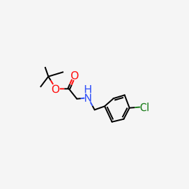 CC(C)(C)OC(=O)CNCc1ccc(Cl)cc1